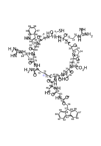 C[C@@H]1NC(=O)[C@H](CS)NC(=O)[C@H](CCCNC(=N)N)CC(=O)C2CCCN2C(=O)[C@H](CC(=O)O)NC(=O)[C@H](CO)NC(=O)[C@@H](NC(=O)[C@H](CS)NC(=O)CNC(=O)OCC2c3ccccc3-c3ccccc32)C/C=C/C[C@@H](C(N)=O)NC(=O)[C@H](CCCNC(=N)N)NC(=O)[C@H](Cc2cc3ccccc3[nH]2)NC1=O